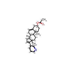 CC(=O)O[C@H]1CC[C@@]2(C)C(=CCC3C2CC[C@]2(C)C(c4cccnc4)=CC[C@@H]32)C1